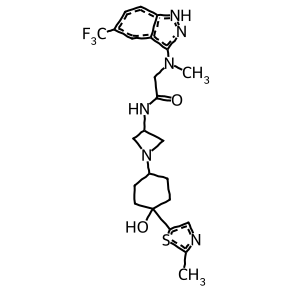 Cc1ncc(C2(O)CCC(N3CC(NC(=O)CN(C)c4n[nH]c5ccc(C(F)(F)F)cc45)C3)CC2)s1